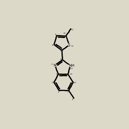 Cc1ccc2nc(-c3ccc(C)s3)[nH]c2c1